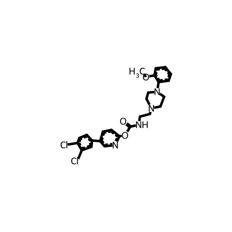 COc1ccccc1N1CCN(CCNC(=O)Oc2ccc(-c3ccc(Cl)c(Cl)c3)cn2)CC1